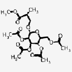 COC(=O)[C@@H](C)CO[C@@H]1OC(COC(C)=O)[C@H](OC(C)=O)C(OC(C)=O)C1OC(C)=O